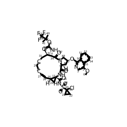 COc1cnc(O[C@@H]2C[C@H]3C(=O)N[C@]4(C(=O)NS(=O)(=O)C5(Cl)CC5)C[C@H]4/C=C\CCCC[C@@H](C)[C@H](NC(=O)OC(C)(C)C(F)(F)F)C(=O)N3C2)c2ccccc12